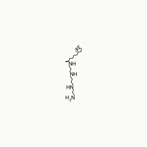 C=C(CCCCC1CCSS1)NCCCNCCCCNCCCN